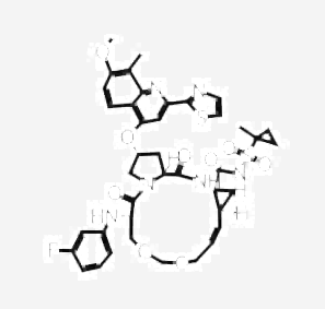 COc1ccc2c(O[C@@H]3C[C@H]4C(=O)N[C@]5(C(=O)NS(=O)(=O)C6(C)CC6)C[C@H]5/C=C\CCCCC[C@H](Nc5cccc(F)c5)C(=O)N4C3)cc(-c3nccs3)nc2c1C